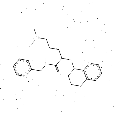 CN(C)CCCC(NC1CCCc2cccnc21)C(=O)NCc1ccccn1